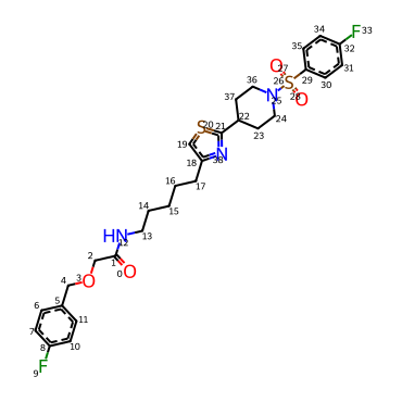 O=C(COCc1ccc(F)cc1)NCCCCCc1csc(C2CCN(S(=O)(=O)c3ccc(F)cc3)CC2)n1